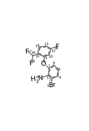 Nc1c(Br)cccc1Oc1cc(F)ccc1C(F)F